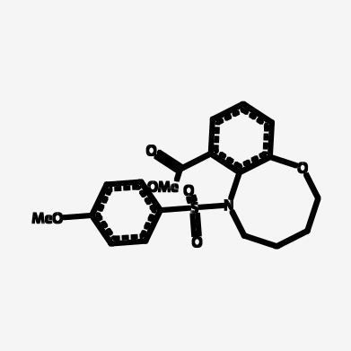 COC(=O)c1cccc2c1N(S(=O)(=O)c1ccc(OC)cc1)CCCCO2